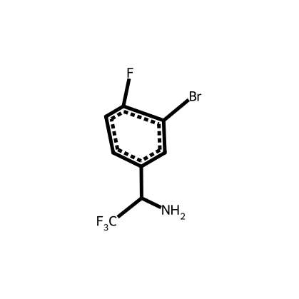 NC(c1ccc(F)c(Br)c1)C(F)(F)F